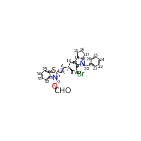 O=COC[n+]1c(/C=C/c2cc(Br)c3c(c2)C2CCCC2N3Cc2ccccc2)sc2ccccc21